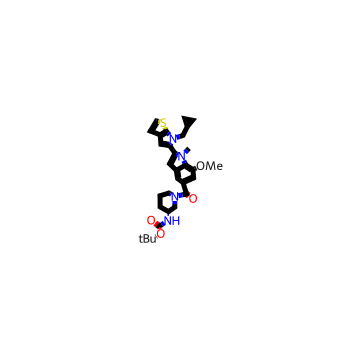 COc1cc(C(=O)N2CCC[C@@H](NC(=O)OC(C)(C)C)C2)cc2cc(-c3cc4ccsc4n3CC3CC3)n(C)c12